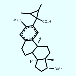 COc1cc2c(cc1C1(C(=O)O)C(C)C1C)[C@H]1CC[C@]3(C)[C@@H](OC)CC[C@H]3C1CC2